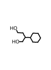 OCCC(CO)C1CCCCC1